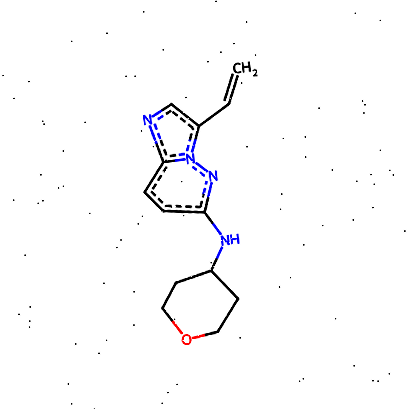 C=Cc1cnc2ccc(NC3CCOCC3)nn12